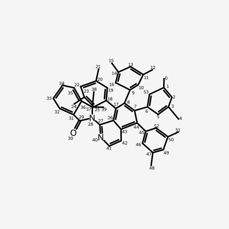 Cc1cc(C)cc(-c2c(-c3cc(C)cc(C)c3)c(-c3cc(C)cc(C)c3)c3c(N4C(=O)c5ccccc5C4(C)C)nccc3c2-c2cc(C)cc(C)c2)c1